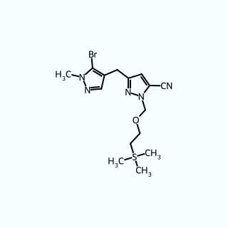 Cn1ncc(Cc2cc(C#N)n(COCCS(C)(C)C)n2)c1Br